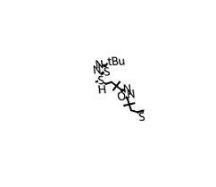 C[SH](CCC(C)(C)c1nnc(C(C)(C)CC2CS2)o1)c1nnc(C(C)(C)C)s1